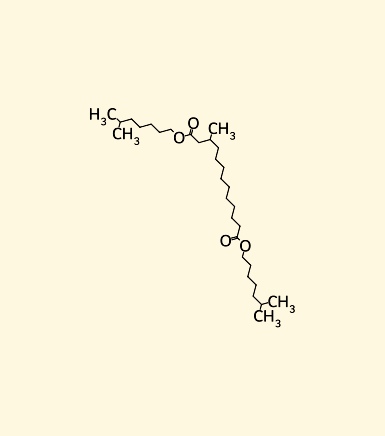 CC(C)CCCCCOC(=O)CCCCCCCCCC(C)CC(=O)OCCCCCC(C)C